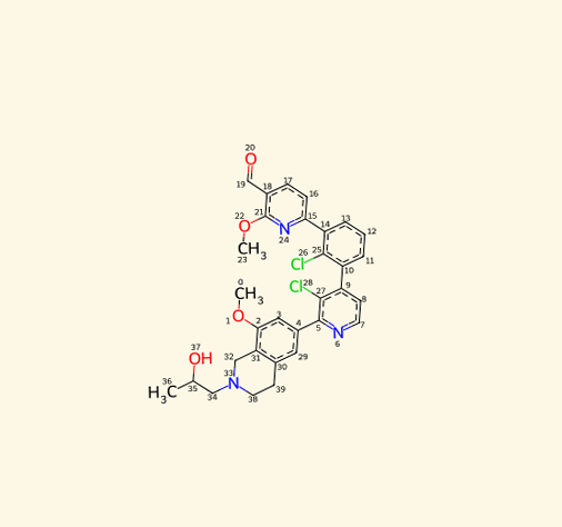 COc1cc(-c2nccc(-c3cccc(-c4ccc(C=O)c(OC)n4)c3Cl)c2Cl)cc2c1CN(CC(C)O)CC2